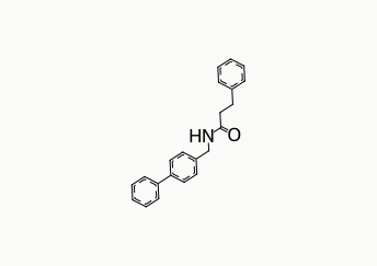 O=C(CCc1ccccc1)NCc1ccc(-c2ccccc2)cc1